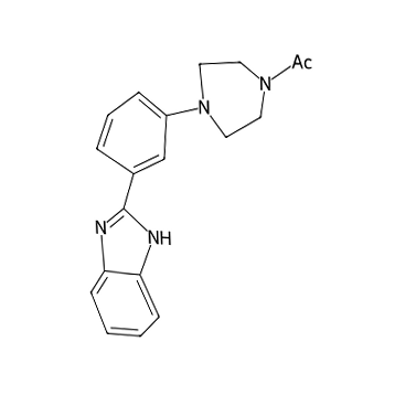 CC(=O)N1CCN(c2cccc(-c3nc4ccccc4[nH]3)c2)CC1